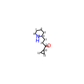 O=C(CCC1CCCCN1)C1CC1